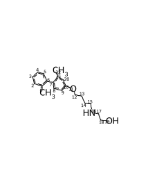 Cc1ccccc1-c1ccc(OCCCCNCCO)cc1C